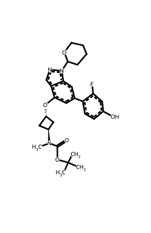 CN(C(=O)OC(C)(C)C)[C@H]1C[C@H](Oc2cc(-c3ccc(O)cc3F)cc3c2cnn3C2CCCCO2)C1